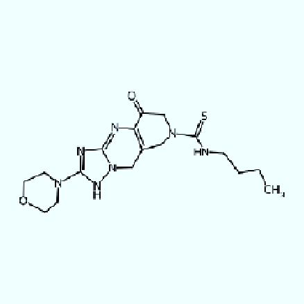 CCCCNC(=S)N1CC(=O)C2=C(C1)CN1NC(N3CCOCC3)=NC1=N2